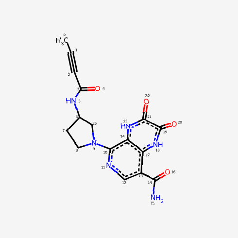 CC#CC(=O)NC1CCN(c2ncc(C(N)=O)c3[nH]c(=O)c(=O)[nH]c23)C1